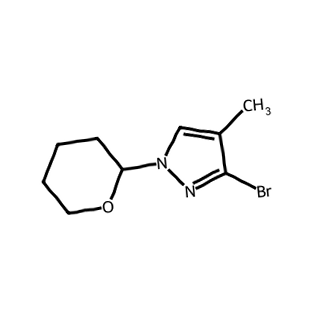 Cc1cn(C2CCCCO2)nc1Br